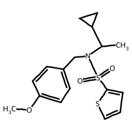 COc1ccc(CN(C(C)C2CC2)S(=O)(=O)c2cccs2)cc1